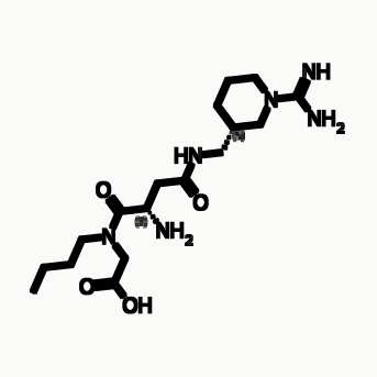 CCCCN(CC(=O)O)C(=O)[C@@H](N)CC(=O)NC[C@@H]1CCCN(C(=N)N)C1